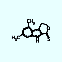 Cc1cc(C)c2c3c([nH]c2c1)C(=S)OCC3